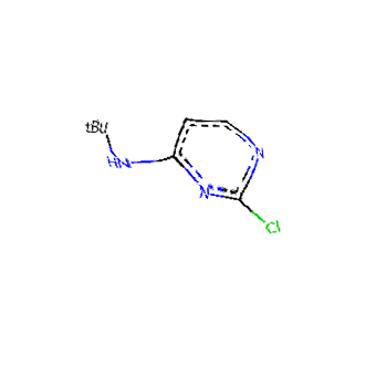 CC(C)(C)Nc1ccnc(Cl)n1